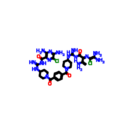 C=C(N)/C(=N\C(Cl)=C(N)N)C(=O)NC(=N)NC1CCN(C(=O)c2ccc(C(=O)N3CCC(NC(=N)NC(=O)c4nc(Cl)c(N)nc4N)CC3)cc2)CC1